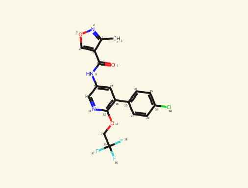 Cc1nocc1C(=O)Nc1cnc(OCC(F)(F)F)c(-c2ccc(Cl)cc2)c1